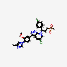 COc1cc(-c2nnc3n(C(CCS(C)(=O)=O)c4ccc(F)cc4)cc(Cl)cc2-3)ccc1-n1cnc(C)c1